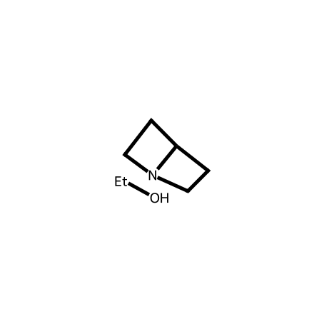 C1CN2CCC12.CCO